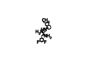 CCc1ccc2c(c1)[C@H](NCC(N)[C@@H](N)Cc1cc(F)cc(F)c1)CCC2